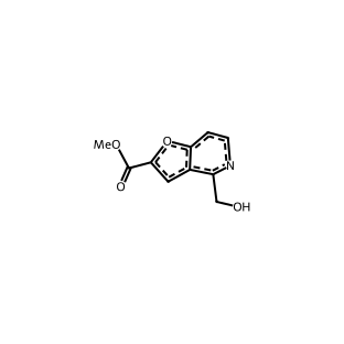 COC(=O)c1cc2c(CO)nccc2o1